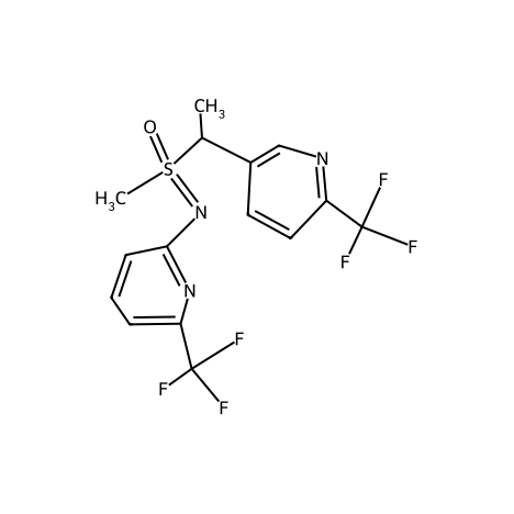 CC(c1ccc(C(F)(F)F)nc1)S(C)(=O)=Nc1cccc(C(F)(F)F)n1